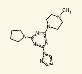 CN1CCN(c2nc(N3CCCC3)nc(-n3cccn3)n2)CC1